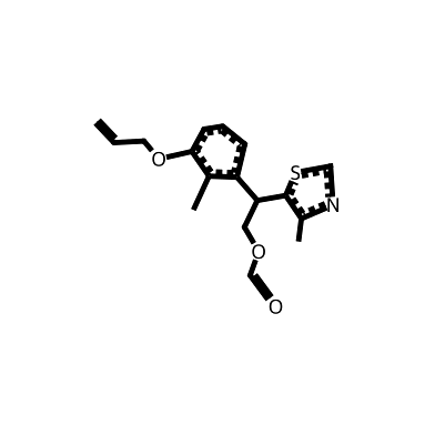 C=CCOc1cccc(C(COC=O)c2scnc2C)c1C